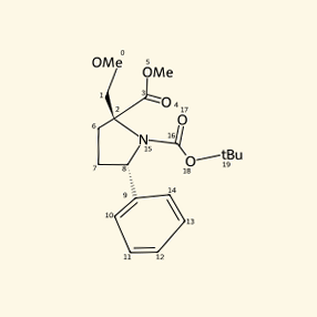 COC[C@]1(C(=O)OC)CC[C@@H](c2ccccc2)N1C(=O)OC(C)(C)C